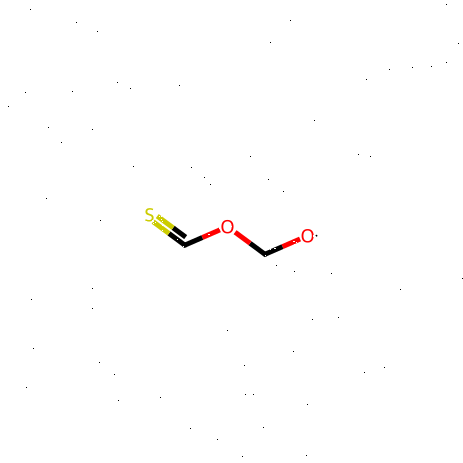 [O]COC=S